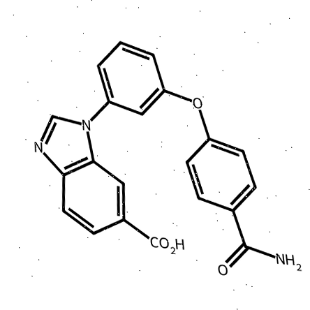 NC(=O)c1ccc(Oc2cccc(-n3cnc4ccc(C(=O)O)cc43)c2)cc1